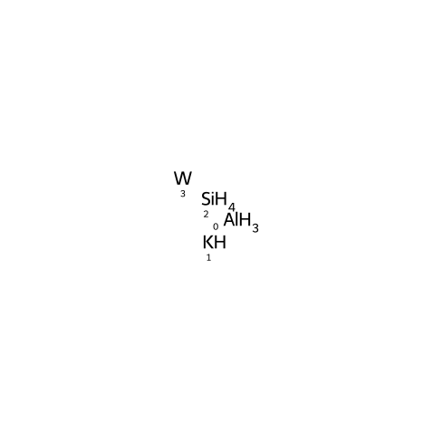 [AlH3].[KH].[SiH4].[W]